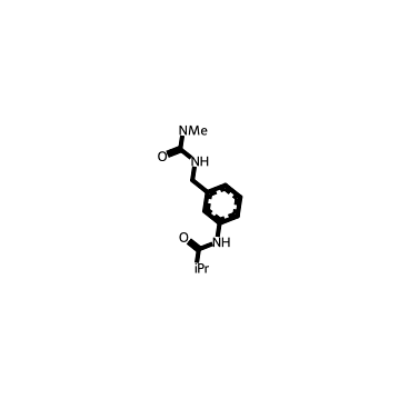 CNC(=O)NCc1cccc(NC(=O)C(C)C)c1